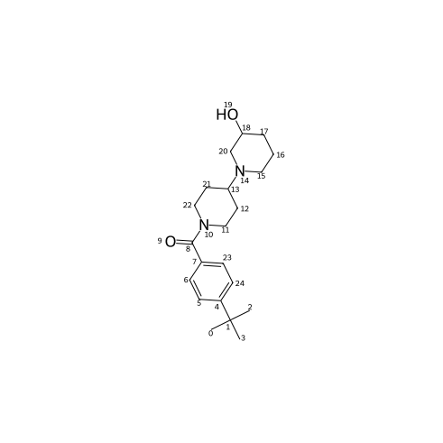 CC(C)(C)c1ccc(C(=O)N2CCC(N3CCCC(O)C3)CC2)cc1